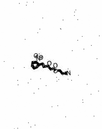 N#CCCOC(=O)CC(=O)C=Cc1ccccc1[N+](=O)[O-]